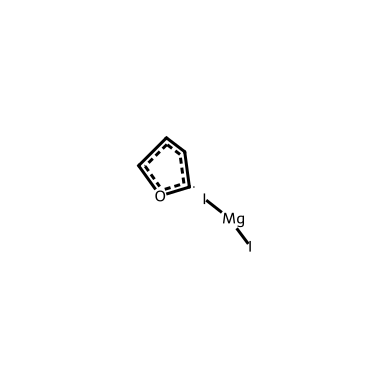 [I][Mg][I].[c]1ccco1